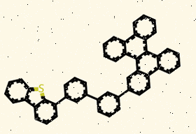 c1cc(-c2cccc(-c3cccc4c3sc3ccccc34)c2)cc(-c2ccc3c4ccccc4c4c5ccccc5c5ccccc5c4c3c2)c1